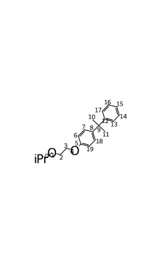 CC(C)OCCOc1ccc(C(C)(C)c2ccccc2)cc1